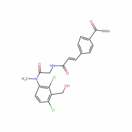 CNC(=O)c1ccc(C=CC(=O)NCC(=O)N(C)c2ccc(Cl)c(CO)c2Cl)cc1